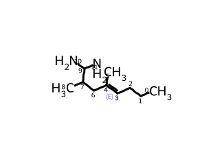 CCC/C=C(\C)CC(C)C(N)N